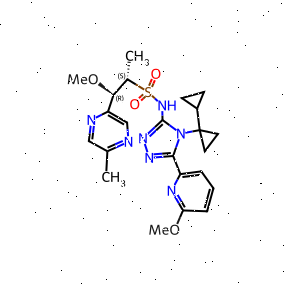 COc1cccc(-c2nnc(NS(=O)(=O)[C@@H](C)[C@H](OC)c3cnc(C)cn3)n2C2(C3CC3)CC2)n1